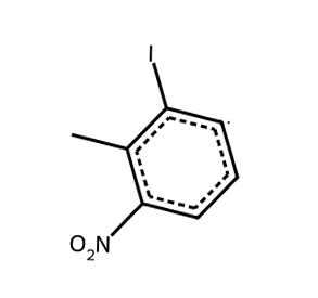 Cc1c(I)[c]ccc1[N+](=O)[O-]